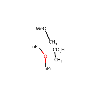 CC(=O)O.CCCOCCC.COC